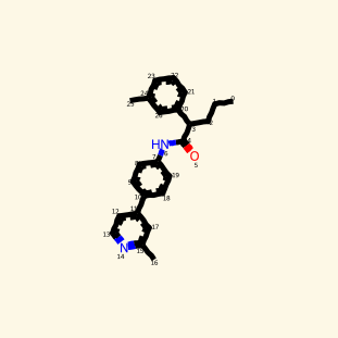 CCCC(C(=O)Nc1ccc(-c2ccnc(C)c2)cc1)c1cccc(C)c1